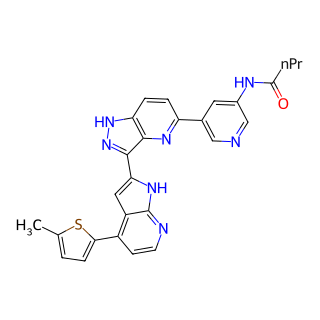 CCCC(=O)Nc1cncc(-c2ccc3[nH]nc(-c4cc5c(-c6ccc(C)s6)ccnc5[nH]4)c3n2)c1